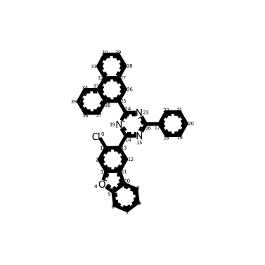 Clc1cc2oc3ccccc3c2cc1-c1nc(-c2ccccc2)nc(-c2cc3ccccc3c3ccccc23)n1